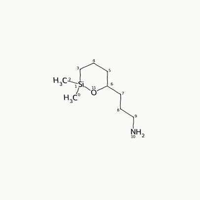 C[Si]1(C)CCCC(CCCN)O1